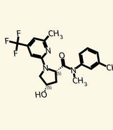 Cc1cccc(N(C)C(=O)[C@@H]2C[C@H](O)CN2c2cc(C(F)(F)F)cc(C)n2)c1